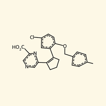 Cc1ccc(COc2ccc(Cl)cc2C2=C(c3cncc(C(=O)O)n3)CCC2)cc1